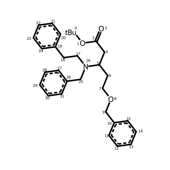 CC(C)(C)OC(=O)CC(CCOCc1ccccc1)N(CCc1ccccc1)Cc1ccccc1